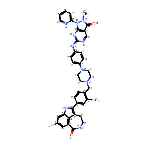 Cc1cc(-c2[nH]c3cc(F)cc4c3c2CCNC4=O)ccc1CN1CCN(c2ccc(Nc3ncc4c(=O)n(C)n(-c5ccccn5)c4n3)cc2)CC1